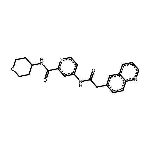 O=C(Cc1ccc2ncccc2c1)Nc1ccnc(C(=O)NC2CCOCC2)c1